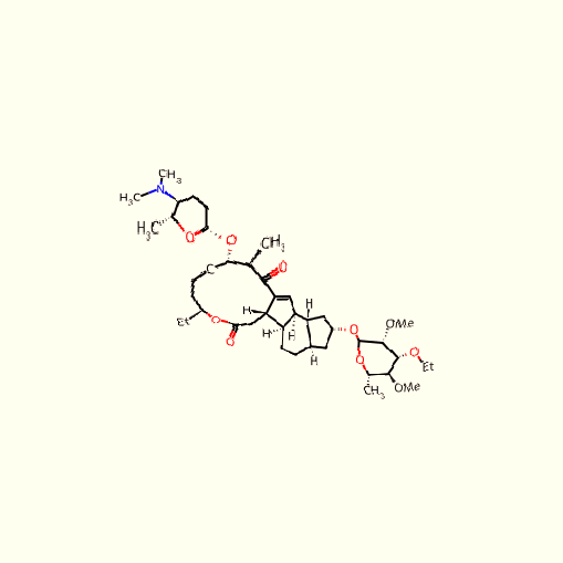 CCO[C@@H]1[C@@H](OC)[C@H](C)OC(O[C@@H]2C[C@H]3CC[C@@H]4[C@@H](C=C5C(=O)[C@H](C)[C@@H](O[C@H]6CC[C@H](N(C)C)[C@@H](C)O6)CCC[C@H](CC)OC(=O)C[C@H]54)[C@@H]3C2)[C@@H]1OC